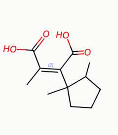 C/C(C(=O)O)=C(/C(=O)O)C1(C)CCCC1C